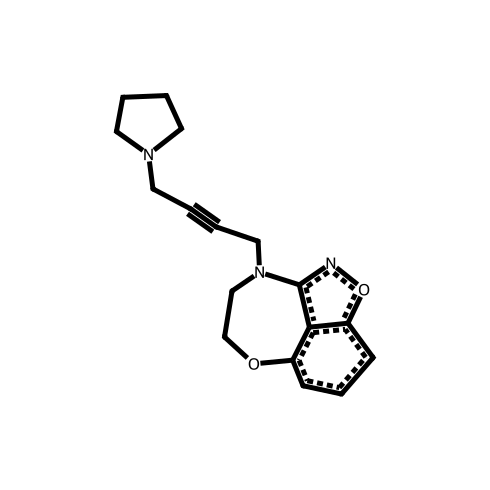 C(#CCN1CCOc2cccc3onc1c23)CN1CCCC1